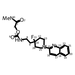 CNC(=O)COC(=O)NCCC1(F)CCN(c2ccc3ccccc3n2)CC1